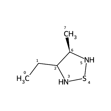 CCC1NSN[C@@H]1C